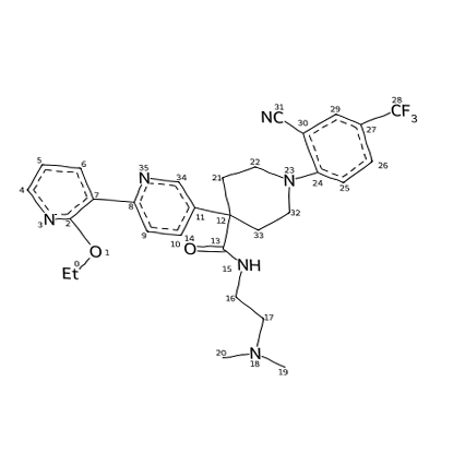 CCOc1ncccc1-c1ccc(C2(C(=O)NCCN(C)C)CCN(c3ccc(C(F)(F)F)cc3C#N)CC2)cn1